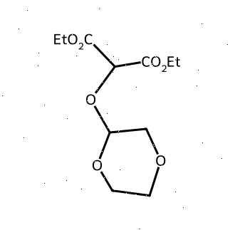 CCOC(=O)C(OC1COCCO1)C(=O)OCC